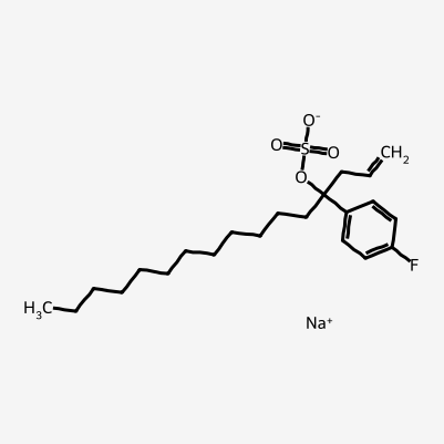 C=CCC(CCCCCCCCCCCC)(OS(=O)(=O)[O-])c1ccc(F)cc1.[Na+]